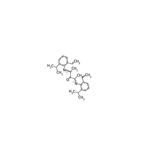 C=Cc1cccc(C(C)C)c1/N=C(\C)C(=O)/C(C)=N/c1c(C=C)cccc1C(C)C